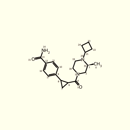 C[C@H]1CN(C(=O)C2CC2c2ccc(C(N)=O)cc2)CCN1C1CCC1